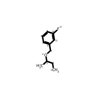 CCC(C)OCc1cccc(F)c1